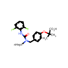 CCCCCCCN(Cc1ccc(OC(C)(C)C(=O)O)cc1)C(=O)Nc1c(F)cccc1F